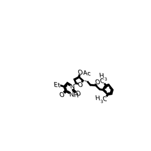 CCc1cn([C@@H]2CC(OC(C)=O)[C@H](CCC(=O)Cc3c(C)cccc3C)O2)c(=O)[nH]c1=O